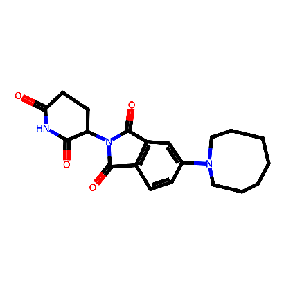 O=C1CCC(N2C(=O)c3ccc(N4CCCCCCC4)cc3C2=O)C(=O)N1